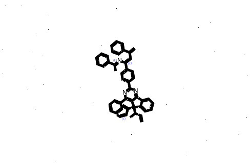 C=CC(C)C1(C(=C)/C=C\C)c2ccccc2-c2nc(-c3ccc(C(=C/C(=C)c4ccccc4)/N=C(\C)c4ccccc4)cc3)nc(-c3ccccc3)c21